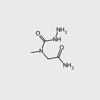 CN(CC(N)=O)C(=O)NN